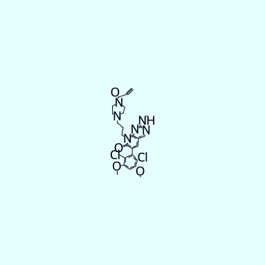 C#CC(=O)N1CCN(CCCn2c(=O)c(-c3c(Cl)c(OC)cc(OC)c3Cl)cc3cnc(NC)nc32)CC1